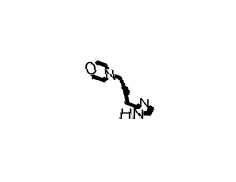 C(#CCN1CCOCC1)Cc1ncc[nH]1